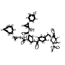 COC(=O)[C@H]1CN(Cc2ccc(C(=O)N3C[C@@H](C(=O)N[C@H]4C[C@@H]4c4ccccc4)[C@H](C(=O)N[C@H]4C[C@@H]4c4ccccc4)C3)cc2)C(=O)CN1C